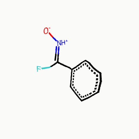 [O-][NH+]=C(F)c1ccccc1